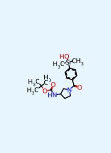 CC(C)(C)OC(=O)NC1CCN(C(=O)c2ccc([Si](C)(C)O)cc2)C1